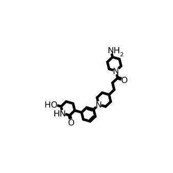 NC1CCN(C(=O)CCC2CCN(C3=CC(C4CCC(O)NC4=O)CC=C3)CC2)CC1